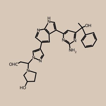 CC(O)(c1ccccc1)c1cc(-c2c[nH]c3ncc(-c4cnn(C(CC=O)N5CCC(O)C5)c4)cc23)nc(N)n1